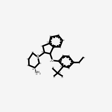 CCc1ccc(OC2c3ccccc3CC2N2CCC[C@@H](N)C2)c(C(C)(C)C)c1